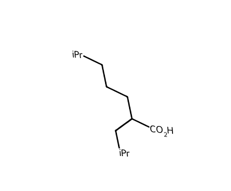 CC(C)CCCC(CC(C)C)C(=O)O